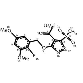 COC(=O)c1c(OCc2cc(OC)cc(OC)c2F)nsc1S(C)(=O)=O